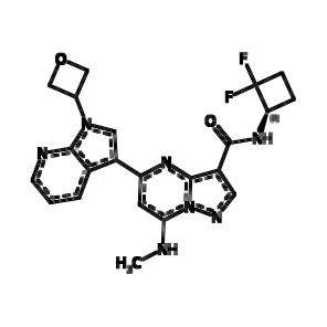 CNc1cc(-c2cn(C3COC3)c3ncccc23)nc2c(C(=O)N[C@@H]3CCC3(F)F)cnn12